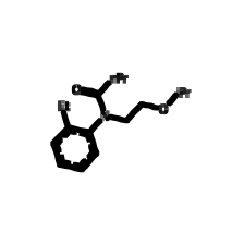 CCCC(=O)N(CCOC(C)C)c1ccccc1CC